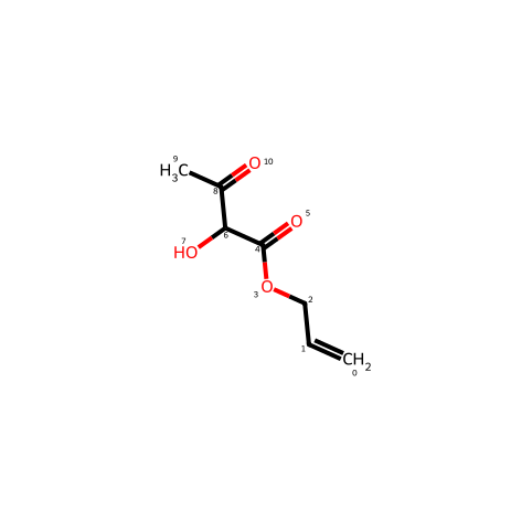 C=CCOC(=O)C(O)C(C)=O